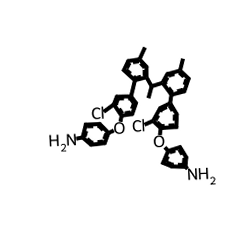 Cc1ccc(-c2ccc(Oc3ccc(N)cc3)c(Cl)c2)c(C(C)c2cc(C)ccc2-c2ccc(Oc3ccc(N)cc3)c(Cl)c2)c1